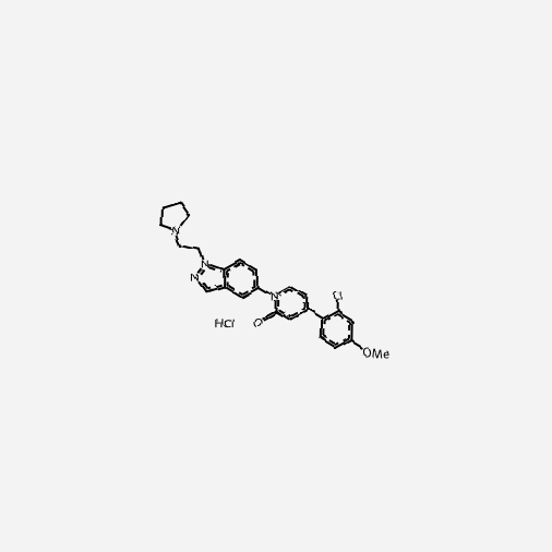 COc1ccc(-c2ccn(-c3ccc4c(cnn4CCN4CCCC4)c3)c(=O)c2)c(Cl)c1.Cl